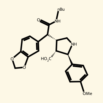 CCCCNC(=O)C(c1ccc2c(c1)OCO2)[C@@H]1CN[C@@H](c2ccc(OC)cc2)[C@@H]1C(=O)O